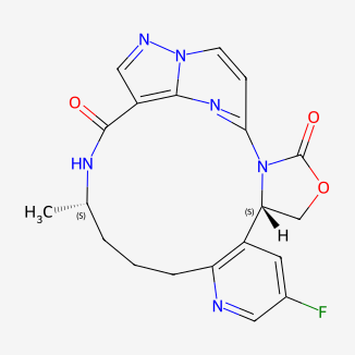 C[C@H]1CCCc2ncc(F)cc2[C@H]2COC(=O)N2c2ccn3ncc(c3n2)C(=O)N1